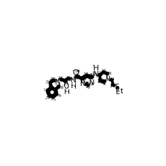 CCSCCN1CCC(Nc2cc(C(=O)NCC(O)CN3CCc4ccccc4C3)ncn2)CC1